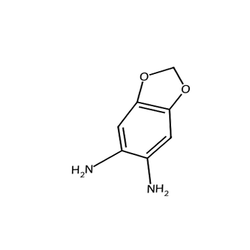 Nc1cc2c(cc1N)OCO2